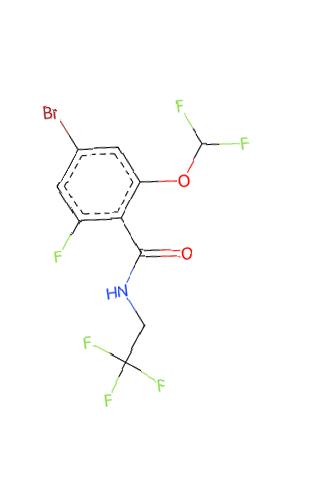 O=C(NCC(F)(F)F)c1c(F)cc(Br)cc1OC(F)F